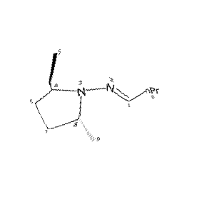 CCC/C=N/N1[C@H](C)CC[C@H]1C